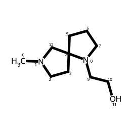 CN1CCC2(CCCN2CCO)C1